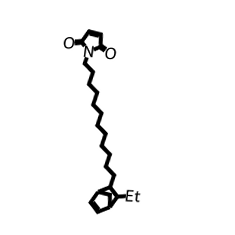 CCC1C2C=CC(C2)C1CCCCCCCCCCCCN1C(=O)C=CC1=O